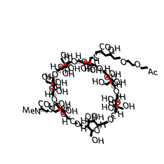 CN[C@H](CSCC1O[C@H]2COC[C@@H]3C(CO)O[C@H](COC[C@@H]4C(CO)O[C@H](O[C@@H]5C(CO)O[C@H](O[C@@H]6C(CSC[C@@H](CC(=O)CCOCCOCCC(C)=O)C(=O)O)O[C@H](O[C@@H]7C(CO)O[C@@H](O[C@@H]8C(CO)O[C@@H](O[C@H]1[C@H](O)C2O)C(O)[C@H]8O)C(O)[C@H]7O)C(O)[C@H]6O)C(O)[C@H]5O)C(O)[C@H]4O)C(O)[C@H]3O)C(=O)O